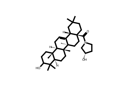 CC1(C)CC[C@]2(C(=O)N3CC[C@H](O)C3)CC[C@]3(C)C(=CC[C@@H]4[C@@]5(C)CCC(O)C(C)(C)[C@@H]5CC[C@]43C)[C@@H]2C1